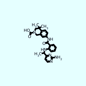 CC(Nc1ccccc1C(=O)Nc1ccc2c(c1)CN(C(=O)O)CC2(C)C)c1ccnc(N)n1